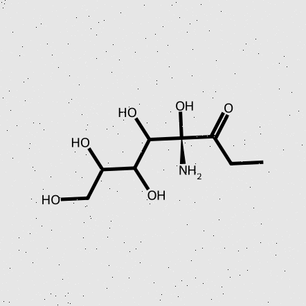 CCC(=O)[C@@](N)(O)C(O)C(O)C(O)CO